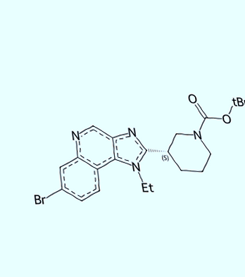 CCn1c([C@H]2CCCN(C(=O)OC(C)(C)C)C2)nc2cnc3cc(Br)ccc3c21